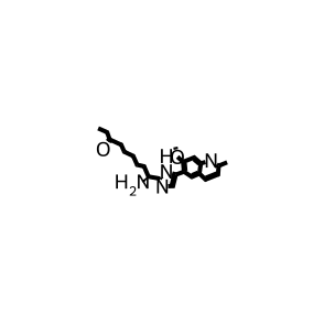 CCC(=O)CCCCC[C@H](N)c1ncc(-c2cc3ccc(C)nc3cc2OC)[nH]1